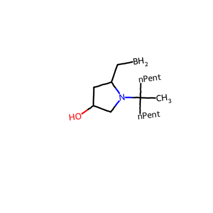 BCC1CC(O)CN1C(C)(CCCCC)CCCCC